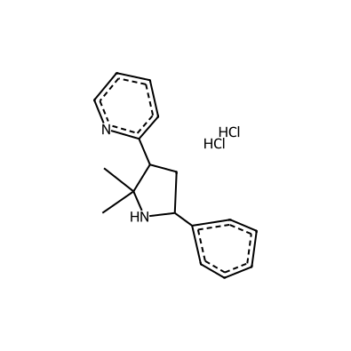 CC1(C)NC(c2ccccc2)CC1c1ccccn1.Cl.Cl